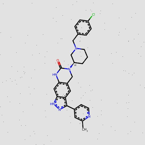 Cc1cc(-c2n[nH]c3cc4c(cc23)CN([C@@H]2CCCN(Cc3ccc(Cl)cc3)C2)C(=O)N4)ccn1